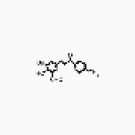 CCC(C)c1cc(/C=C/C(=O)c2ccc(C)cc2)cc(C=O)c1O